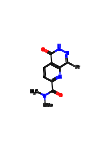 CON(C)C(=O)c1ccc2c(=O)[nH]nc(C(C)C)c2n1